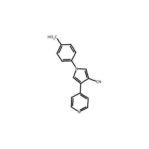 N#Cc1cn(-c2ccc(C(=O)O)cc2)cc1-c1ccncc1